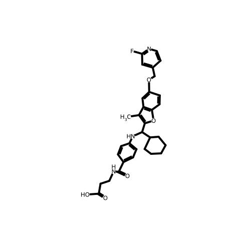 Cc1c(C(Nc2ccc(C(=O)NCCC(=O)O)cc2)C2CCCCC2)oc2ccc(OCc3ccnc(F)c3)cc12